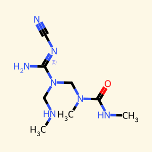 CNCN(CN(C)C(=O)NC)/C(N)=N/C#N